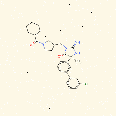 C[C@@]1(c2cccc(-c3cccc(Cl)c3)c2)NC(=N)N(CC2CCN(C(=O)C3CCCCC3)C2)C1=O